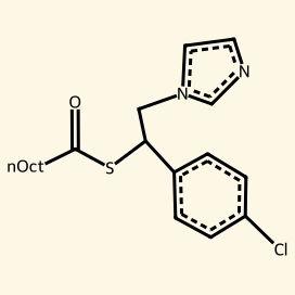 CCCCCCCCC(=O)SC(Cn1ccnc1)c1ccc(Cl)cc1